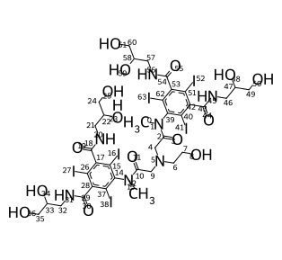 CN(C(=O)CN(CCO)CC(=O)N(C)c1c(I)c(C(=O)NCC(O)CO)c(I)c(C(=O)NCC(O)CO)c1I)c1c(I)c(C(=O)NCC(O)CO)c(I)c(C(=O)NCC(O)CO)c1I